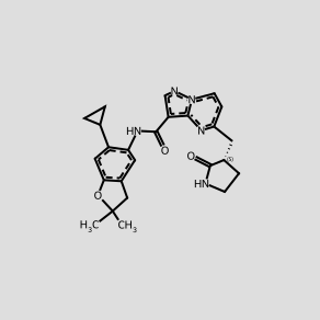 CC1(C)Cc2cc(NC(=O)c3cnn4ccc(C[C@@H]5CCNC5=O)nc34)c(C3CC3)cc2O1